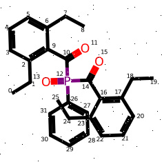 CCc1cccc(CC)c1C(=O)P(=O)(C(=O)c1c(CC)cccc1CC)c1ccccc1